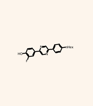 CCCCCCc1ccc(-c2cnc(-c3ccc(O)c(F)c3)cn2)cc1